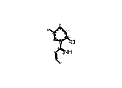 C/C=C\C(=N)c1cc(C)ccc1Cl